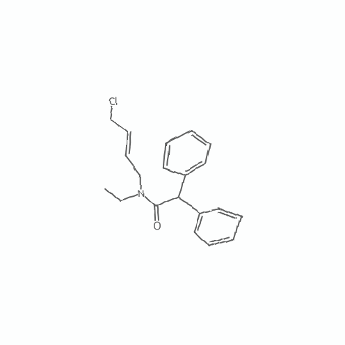 CCN(CC=CCCl)C(=O)C(c1ccccc1)c1ccccc1